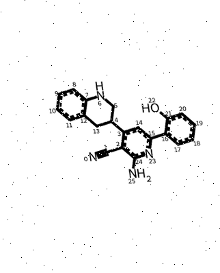 N#Cc1c(C2CNc3ccccc3C2)cc(-c2ccccc2O)nc1N